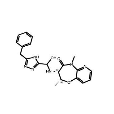 C[C@H]1Oc2cccnc2N(C)C(=O)[C@H]1NC(O)c1nnc(Cc2ccccc2)[nH]1